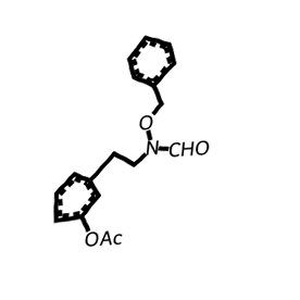 CC(=O)Oc1cccc(CCN(C=O)OCc2ccccc2)c1